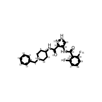 O=C(NC1CCN(Cc2ccccc2)CC1)c1n[nH]cc1NC(=O)c1c(F)cccc1F